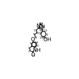 O=C1CCc2cc(OCCCCc3nnnn3C3CCC(O)CC3)ccc2N1